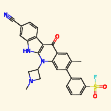 Cc1cc2c(=O)c3c4ccc(C#N)cc4[nH]c3n(C3CN(C)C3)c2cc1-c1cccc(S(=O)(=O)F)c1